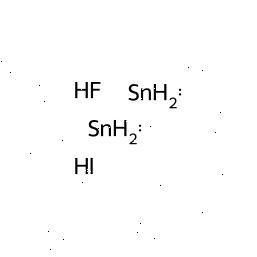 F.I.[SnH2].[SnH2]